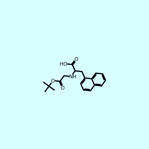 CC(C)(C)OC(=O)CNC(Cc1cccc2ccccc12)C(=O)O